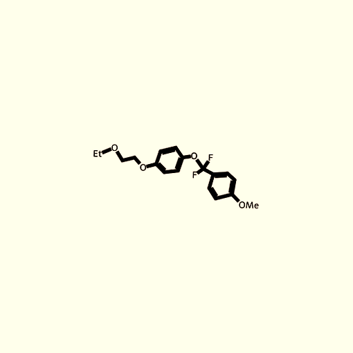 CCOCCOc1ccc(OC(F)(F)c2ccc(OC)cc2)cc1